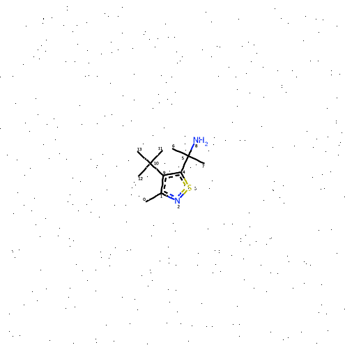 Cc1nsc(C(C)(C)N)c1C(C)(C)C